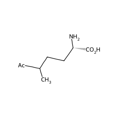 CC(=O)C(C)CC[C@H](N)C(=O)O